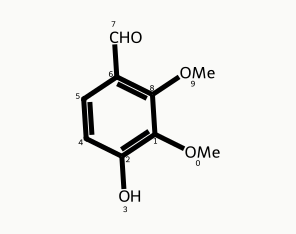 COc1c(O)ccc(C=O)c1OC